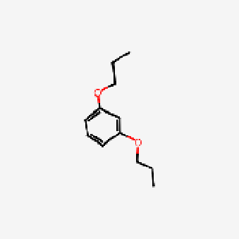 CCCOc1c[c]cc(OCCC)c1